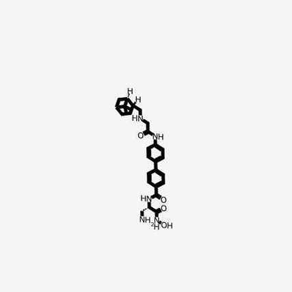 CC1(C)C2CC[C@@H](CNCC(=O)Nc3ccc(-c4ccc(C(=O)N[C@@H](CN)C(=O)NO)cc4)cc3)[C@@H]1C2